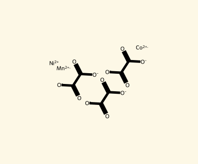 O=C([O-])C(=O)[O-].O=C([O-])C(=O)[O-].O=C([O-])C(=O)[O-].[Co+2].[Mn+2].[Ni+2]